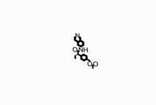 CC[C@@H](C(=O)Nc1ccc2cnccc2c1)c1ccc(COC(C)=O)cc1